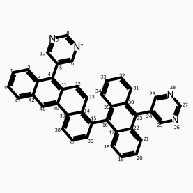 c1ccc2c(-c3cncnc3)c3ccc4c(-c5c6ccccc6c(-c6cncnc6)c6ccccc56)cccc4c3cc2c1